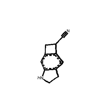 N#CC1Cc2cc3c(cc21)CCN3